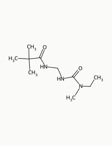 CCN(C)C(=O)NCNC(=O)C(C)(C)C